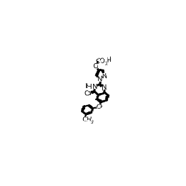 Cc1cccc(Oc2ccc3nc(-n4cc(OC(=O)O)cn4)[nH]c(=O)c3c2)c1